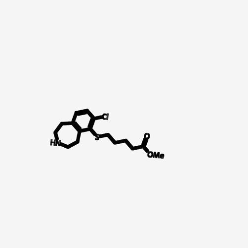 COC(=O)CCCCSc1c(Cl)ccc2c1CCNCC2